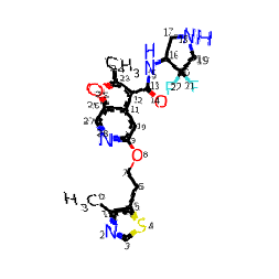 Cc1ncsc1CCOc1cc2c(C(=O)NC3CNCC3(F)F)c(C)oc2cn1